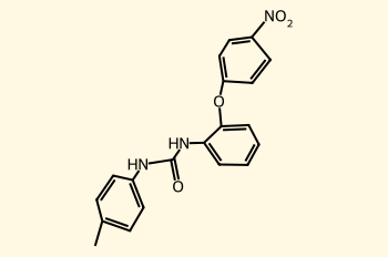 Cc1ccc(NC(=O)Nc2ccccc2Oc2ccc([N+](=O)[O-])cc2)cc1